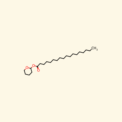 CCCCCCCCCCCCCCCCCC(=O)OC1CCCCO1